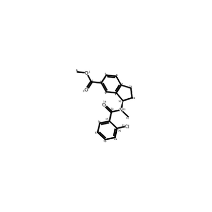 COC(=O)c1ccc2c(c1)[C@H](N(C)C(=O)c1ccccc1Cl)CC2